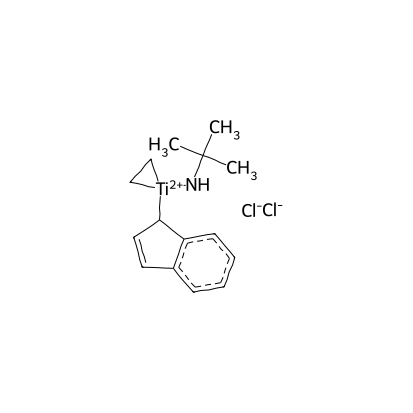 CC(C)(C)[NH][Ti+2]1([CH]2C=Cc3ccccc32)[CH2][CH2]1.[Cl-].[Cl-]